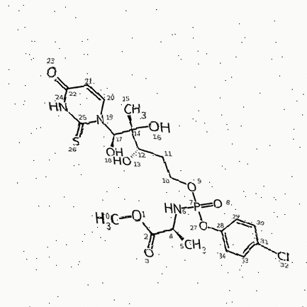 COC(=O)[C@H](C)NP(=O)(OCC[C@H](O)[C@@](C)(O)[C@@H](O)n1ccc(=O)[nH]c1=S)Oc1ccc(Cl)cc1